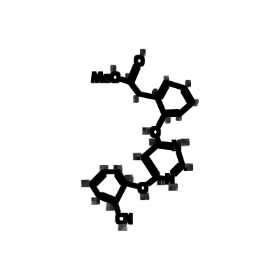 COC(=O)Cc1ccccc1Oc1cc(Oc2ccccc2C#N)ncn1